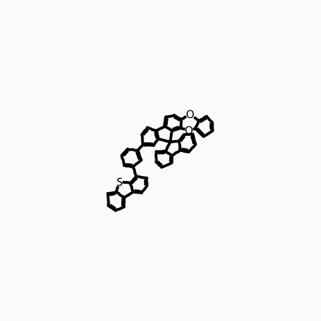 c1cc(-c2ccc3c(c2)C2(c4ccccc4-c4ccccc42)c2c-3ccc3c2Oc2ccccc2O3)cc(-c2cccc3c2sc2ccccc23)c1